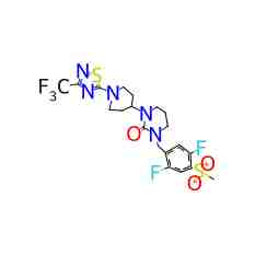 CS(=O)(=O)c1cc(F)c(CN2CCCN(C3CCN(c4nc(C(F)(F)F)ns4)CC3)C2=O)cc1F